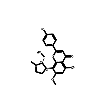 COc1cc(O)c2c(=O)cc(-c3ccc(Br)cc3)oc2c1[C@H]1CCN(C)[C@@H]1CO